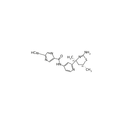 C#Cc1cnc(C(=O)Nc2ccnc([C@]3(C)C[C@@H](C)SC(N)=N3)c2)cn1